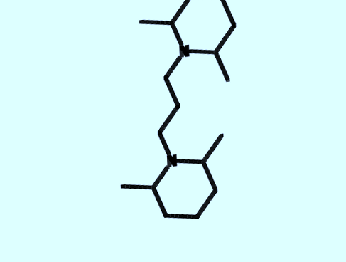 CC1CCCC(C)N1CCCN1C(C)CCCC1C